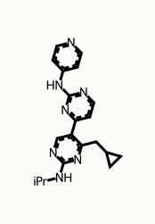 CC(C)Nc1ncc(-c2ccnc(Nc3ccncc3)n2)c(CC2CC2)n1